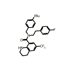 CC(C)(C)c1ccc(CN(CCc2ccc(F)cc2)C(=O)c2cc(C(F)(F)F)cc3c2NCCC3)cc1